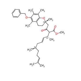 COC(=O)C(C(=O)C[C@]1(C)CCc2c(C)c(OCc3ccccc3)c(C)c(C)c2O1)[C@H](C)C=CC[C@H](C)CCC=C(C)C